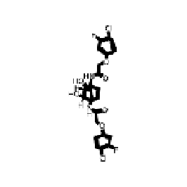 O=C(COc1ccc(Cl)c(F)c1)NC12CCC(NC(=O)COc3ccc(Cl)c(F)c3)(C[C@H]1O)[C@@H](O)C2